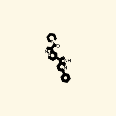 O=C(c1cnn2ccc(-c3c[nH]c4nc(-c5ccccc5)ccc34)cc12)N1CCCCC1